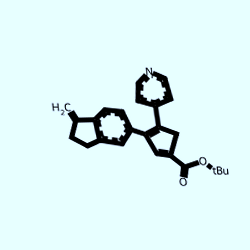 C=C1CCc2cc(C3=C(c4ccncc4)CC(C(=O)OC(C)(C)C)=C3)ccc21